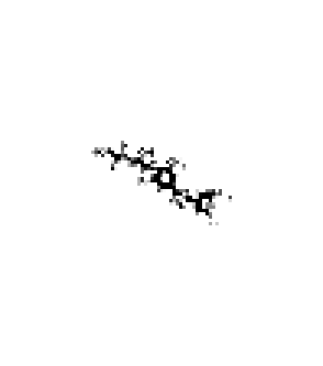 CCc1cc(-c2noc(-c3cc(C)c(OC[C@@H](O)CNC(=O)CO)c(CC)c3)n2)cc(C)n1